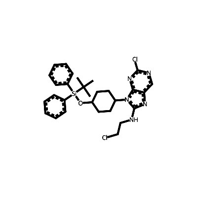 CC(C)(C)[Si](OC1CCC(n2c(NCCCl)nc3cnc(Cl)nc32)CC1)(c1ccccc1)c1ccccc1